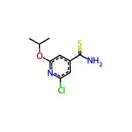 CC(C)Oc1cc(C(N)=S)cc(Cl)n1